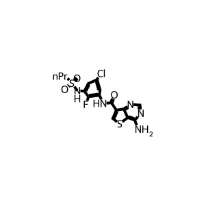 CCCS(=O)(=O)Nc1cc(Cl)cc(NC(=O)c2csc3c(N)ncnc23)c1F